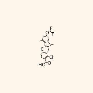 Cc1cc(OC(F)F)cc2c1cc(Cc1c(Cl)ccc(C(=O)O)c1Cl)n2C